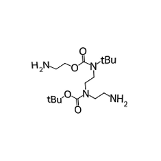 CC(C)(C)OC(=O)N(CCN)CCN(C(=O)OCCN)C(C)(C)C